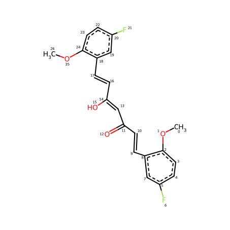 COc1ccc(F)cc1C=CC(=O)C=C(O)C=Cc1cc(F)ccc1OC